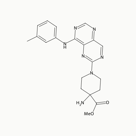 COC(=O)C1(N)CCN(c2ncc3ncnc(Nc4cccc(C)c4)c3n2)CC1